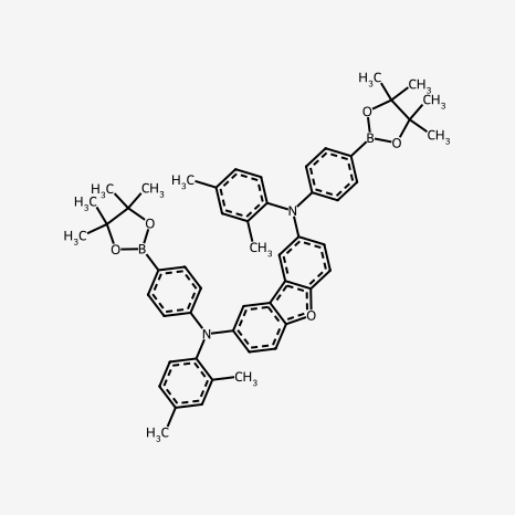 Cc1ccc(N(c2ccc(B3OC(C)(C)C(C)(C)O3)cc2)c2ccc3oc4ccc(N(c5ccc(B6OC(C)(C)C(C)(C)O6)cc5)c5ccc(C)cc5C)cc4c3c2)c(C)c1